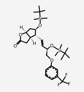 CC(C)(C)[Si](C)(C)O[C@H](C=C[C@@H]1[C@H]2CC(=O)O[C@H]2C[C@H]1O[Si](C)(C)C(C)(C)C)COc1cccc(C(F)(F)F)c1